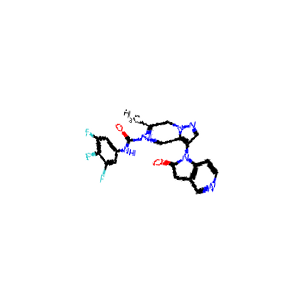 C[C@H]1Cn2ncc(N3C(=O)Cc4cnccc43)c2CN1C(=O)Nc1cc(F)c(F)c(F)c1